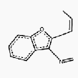 C=Nc1c(/C=C\C)oc2ccccc12